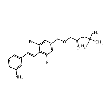 CC(C)(C)OC(=O)COCc1cc(Br)c(/C=C/c2cccc(N)c2)c(Br)c1